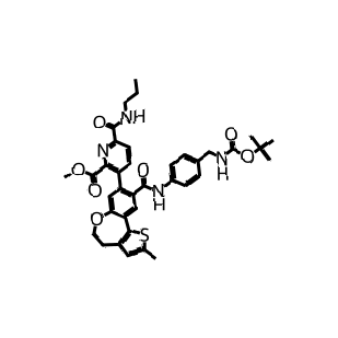 CCCNC(=O)c1ccc(-c2cc3c(cc2C(=O)Nc2ccc(CNC(=O)OC(C)(C)C)cc2)-c2sc(C)cc2CCO3)c(C(=O)OC)n1